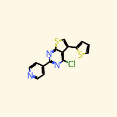 Clc1nc(-c2ccncc2)nc2scc(-c3cccs3)c12